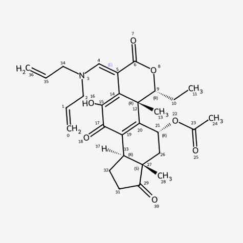 C=CCN(/C=C1/C(=O)O[C@H](CC)[C@@]2(C)C1=C(O)C(=O)C1=C2[C@H](OC(C)=O)C[C@]2(C)C(=O)CC[C@@H]12)CC=C